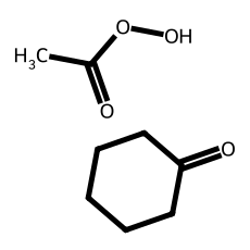 CC(=O)OO.O=C1CCCCC1